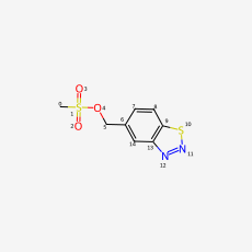 CS(=O)(=O)OCc1ccc2snnc2c1